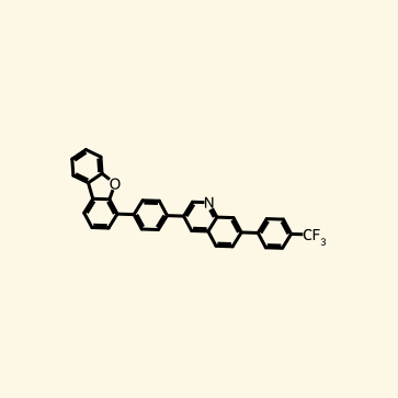 FC(F)(F)c1ccc(-c2ccc3cc(-c4ccc(-c5cccc6c5oc5ccccc56)cc4)cnc3c2)cc1